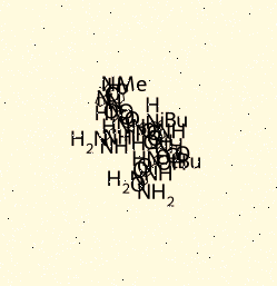 CCCC(NC(=O)C(CCCNC(=N)N)NC(=O)C(Cc1ccccc1)NC(=O)C1CCCN1C(=O)C(C)NC)C(=O)NCC(=O)NC(C(=O)NC(CCCC(=O)OC(C)(C)C)C(=O)NC(C(=O)NC(C(=O)NC(CC(N)=O)C(N)=O)C(C)O)C(C)O)C(C)CC